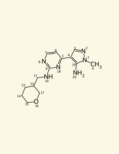 Cn1ncc(-c2ccnc(NCC3CCCOC3)n2)c1N